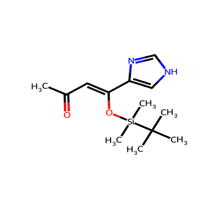 CC(=O)/C=C(\O[Si](C)(C)C(C)(C)C)c1c[nH]cn1